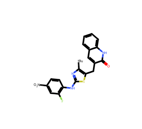 CC(C)(C)c1nc(Nc2ccc([N+](=O)[O-])cc2F)sc1Cc1cc2ccccc2[nH]c1=O